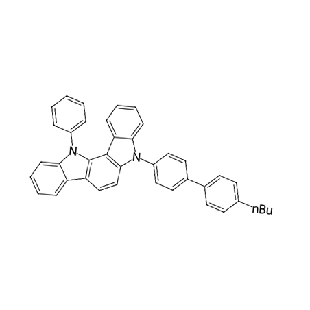 CCCCc1ccc(-c2ccc(-n3c4ccccc4c4c3ccc3c5ccccc5n(-c5ccccc5)c34)cc2)cc1